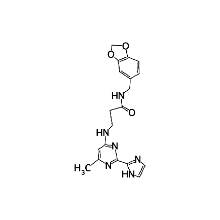 Cc1cc(NCCC(=O)NCc2ccc3c(c2)OCO3)nc(-c2ncc[nH]2)n1